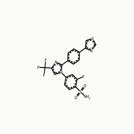 NS(=O)(=O)c1ccc(-n2cc(C(F)(F)F)nc2-c2ccc(-c3cscn3)cc2)cc1F